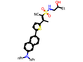 CCCN(CCC)c1ccc2cc(-c3ccc(/C(C)=C(\C#N)S(=O)(=O)NCC(O)CC)s3)ccc2c1